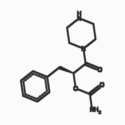 NC(=O)O[C@@H](Cc1ccccc1)C(=O)N1CCNCC1